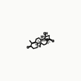 CC1=C2CC[C@H]3[C@@H]4[C@@H](O)CC(=O)[C@@]4(C)CC[C@@H]3[C@@]2(C)CCC1=O